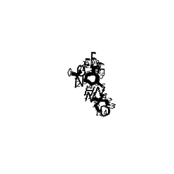 Cc1nc2cc(CNCC3(C#N)CCOCC3)cc(C(F)(F)F)c2o1